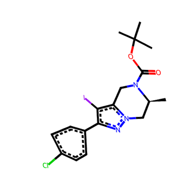 C[C@H]1Cn2nc(-c3ccc(Cl)cc3)c(I)c2CN1C(=O)OC(C)(C)C